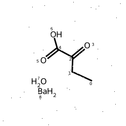 CCC(=O)C(=O)O.O.[BaH2]